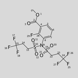 COC(=O)c1cccc(N(S(=O)(=O)CCC(F)(F)F)S(=O)(=O)CCC(F)(F)F)c1F